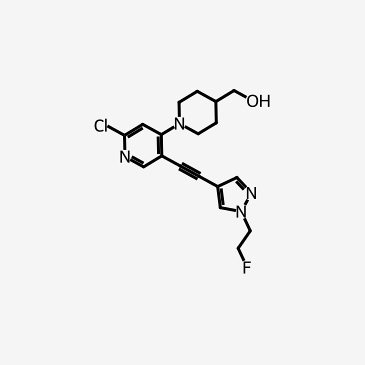 OCC1CCN(c2cc(Cl)ncc2C#Cc2cnn(CCF)c2)CC1